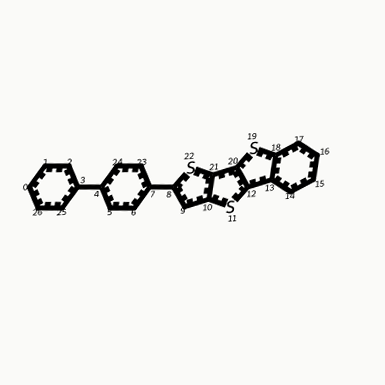 c1ccc(-c2ccc(-c3cc4sc5c6ccccc6sc5c4s3)cc2)cc1